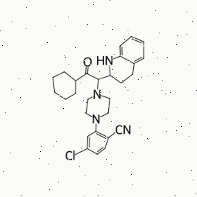 N#Cc1ccc(Cl)cc1N1CCN(C(C(=O)C2CCCCC2)C2CCc3ccccc3N2)CC1